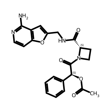 CC(=O)O[C@H](C(=O)N1CC[C@H]1C(=O)NCc1cc2c(N)nccc2o1)c1ccccc1